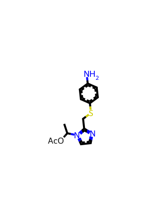 CC(=O)OC(C)n1ccnc1CSc1ccc(N)cc1